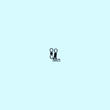 [O]=[Gd].[O]=[Mn]